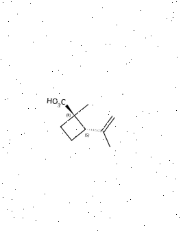 C=C(C)[C@@H]1CC[C@@]1(C)C(=O)O